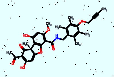 CC#CCOc1c(C)c(C)c(CNC(=O)c2c(OC)cc(O)c3c2OC2=CC(O)=C(C(C)=O)C(=O)[C@]23C)c(C)c1C